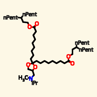 CCCCCC(CCCCC)CCOC(=O)CCCCCCCCC1(CCCCCCCCC(=O)OCCC(CCCCC)CCCCC)OCC(CN(C)C(C)C)O1